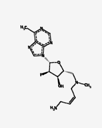 Cc1ncnc2c1ncn2[C@@H]1O[C@H](CN(C)C/C=C\CN)[C@@H](O)[C@H]1F